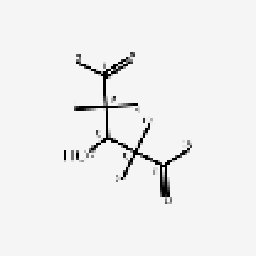 C=C(C)C(C)(C)C(O)C(C)(C)C(=C)C